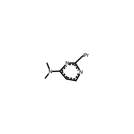 CC(C)c1nccc(N(C)C)n1